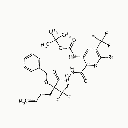 C=CCC[C@@](OCc1ccccc1)(C(=O)NNC(=O)c1nc(Br)c(C(F)(F)F)cc1NC(=O)OC(C)(C)C)C(F)(F)F